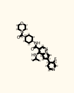 CC(C)Nc1c(C(=O)N[C@H]2CC[C@H](C(=O)N3CCOCC3)CC2)cnn2cc(-c3ccncc3F)cc12